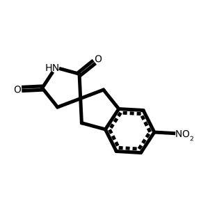 O=C1CC2(Cc3ccc([N+](=O)[O-])cc3C2)C(=O)N1